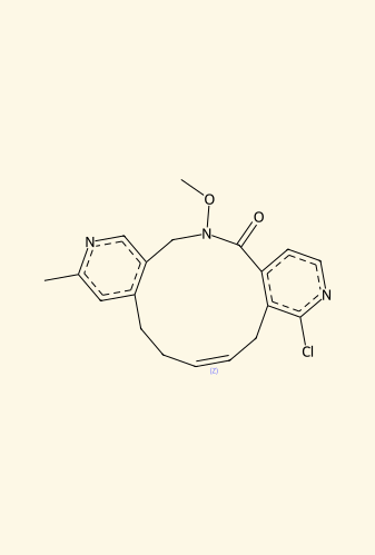 CON1Cc2cnc(C)cc2CC/C=C\Cc2c(ccnc2Cl)C1=O